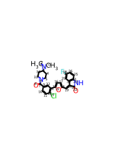 CN(C)C1CCN(C(=O)c2ccc(Cl)c(-c3ccc(/C=C4/C(=O)Nc5ccc(F)cc54)o3)c2)CC1